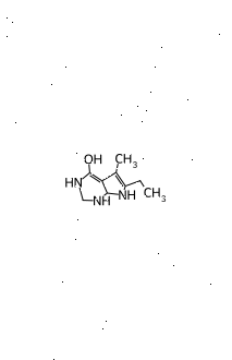 CCC1=C(C)C2=C(O)NCNC2N1